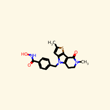 Cc1cc2c(s1)c1c(n2Cc2ccc(C(=O)NO)cc2)CCN(C)C1=O